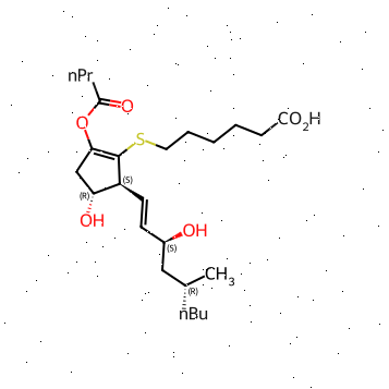 CCCC[C@@H](C)C[C@H](O)C=C[C@@H]1C(SCCCCCC(=O)O)=C(OC(=O)CCC)C[C@H]1O